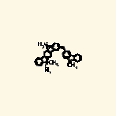 Cn1c2ccccc2c2cc(Cc3ccc4c(c3)c3cc5c(cc3n4C)-c3ccccc3C5(C)C)ccc21